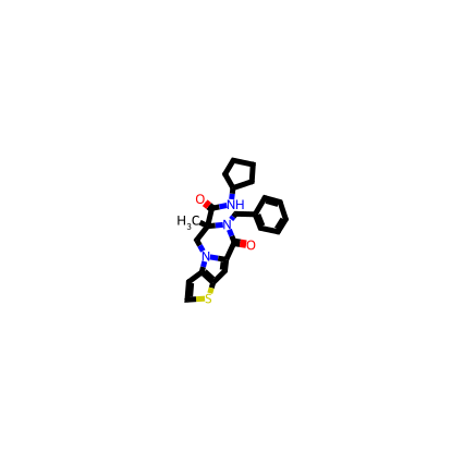 CC1(C(=O)NC2CCCC2)Cn2c(cc3sccc32)C(=O)N1Cc1ccccc1